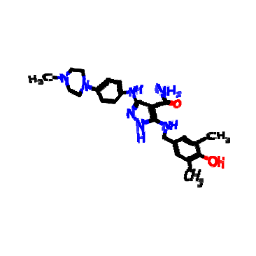 Cc1cc(CNc2[nH]nc(Nc3ccc(N4CCN(C)CC4)cc3)c2C(N)=O)cc(C)c1O